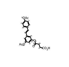 CC(=O)Oc1ccc(C=Cc2cc(OC(C)=O)cc(OC(=O)CCC(=O)O)c2)cc1